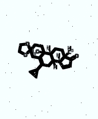 C[C@]12CCC3(CC1=C(C1CC1)C[C@@H]1[C@@H]2CC[C@]2(C)C(=O)C=C[C@@H]12)OCCO3